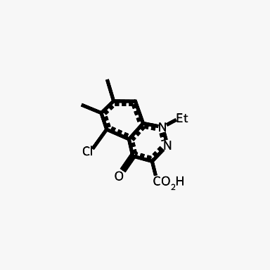 CCn1nc(C(=O)O)c(=O)c2c(Cl)c(C)c(C)cc21